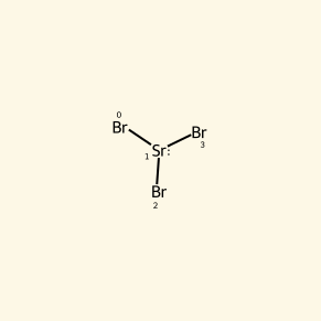 [Br][Sr]([Br])[Br]